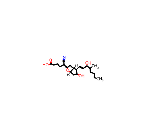 CCCCC(C)[C@H](O)/C=C/[C@H]1C(O)C[C@@H]2O/C(=C(/C#N)CCCC(=O)O)C[C@@H]21